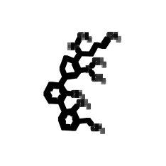 C=CCCC(NC)C1=C(N(C)C)C=C(c2cccc(-c3cccc(CC)c3C)c2C)CC1